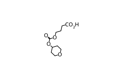 O=C(O)CCCOC(=O)OC1CCOCC1